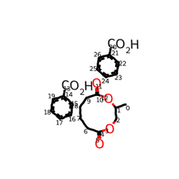 CC1COC(=O)CCCCC(=O)O1.O=C(O)c1ccccc1.O=C(O)c1ccccc1